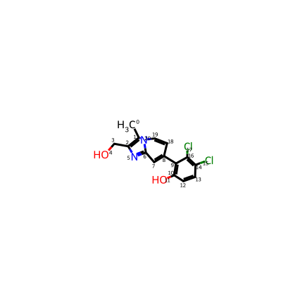 Cc1c(CO)nc2cc(-c3c(O)ccc(Cl)c3Cl)ccn12